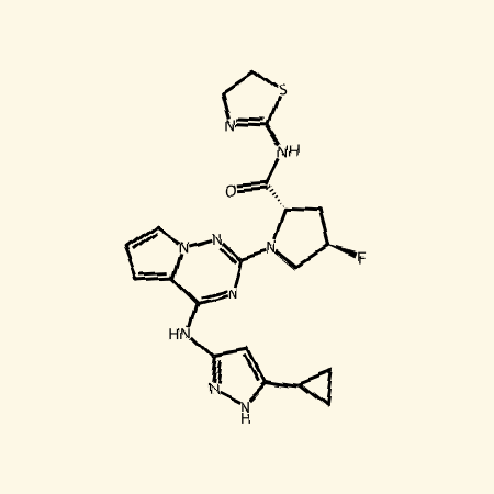 O=C(NC1=NCCS1)[C@@H]1C[C@@H](F)CN1c1nc(Nc2cc(C3CC3)[nH]n2)c2cccn2n1